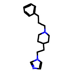 c1ccc(CCCN2CCC(CCn3ccnc3)CC2)cc1